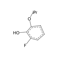 CC(C)Oc1cccc(F)c1O